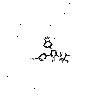 CC(=O)Oc1ccc(-c2nc(S(=O)(=O)C(F)(F)C(F)F)[nH]c2-c2ccc(OC(C)=O)cc2)cc1